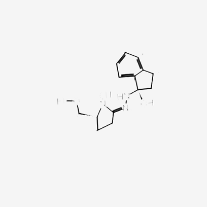 CCOC[C@@H]1CCC(=NN[C@@]2(O)CCc3ccccc32)N1C